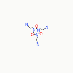 N#CCCN1C(=O)N(CCC#N)C2OC2N(CCC#N)C1=O